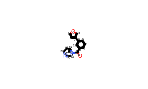 O=C(c1cccc(-c2ccoc2)c1)N1CCN2CCC1CC2